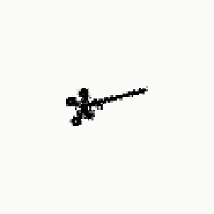 CCCCCCCCCCCCCCCCCC(=O)OC[C@H](F)[C@H]1OC(OC(C)=O)[C@@H](OCc2ccccc2)[C@@H](OCc2ccccc2)[C@@H]1OCc1ccccc1